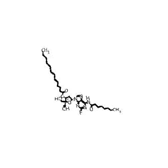 C#C[C@]1(CO)O[C@@H](n2cnc3c(NC(=O)CCCCCCC)nc(F)nc32)C[C@@H]1OC(=O)CCCCCCCCCCCC